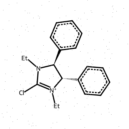 CCN1C(Cl)=[N+](CC)[C@@H](c2ccccc2)[C@@H]1c1ccccc1